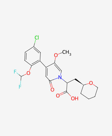 COc1cn(C(C[C@@H]2CCCCO2)C(=O)O)c(=O)cc1-c1cc(Cl)ccc1OC(F)F